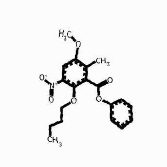 CCCCOc1c([N+](=O)[O-])cc(OC)c(C)c1C(=O)Oc1ccccc1